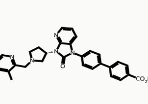 Cc1cccnc1CN1CC[C@H](n2c(=O)n(-c3ccc(-c4ccc(C(=O)O)cc4)cc3)c3cccnc32)C1